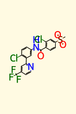 CS(=O)(=O)c1ccc(C(=O)Nc2ccc(Cl)c(-c3cc(C(F)(F)F)ccn3)c2)c(Cl)c1